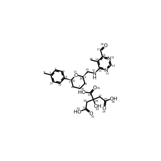 Cc1ccc([C@@H]2CCC[C@H](CNc3ncnc(C=O)c3C)O2)cc1.O=C(O)CC(O)(CC(=O)O)C(=O)O